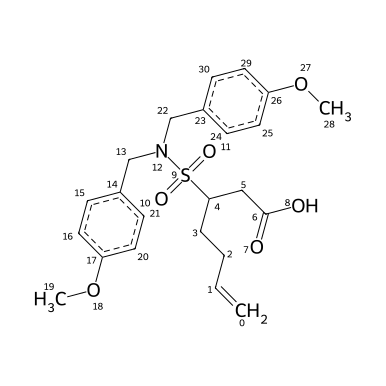 C=CCCC(CC(=O)O)S(=O)(=O)N(Cc1ccc(OC)cc1)Cc1ccc(OC)cc1